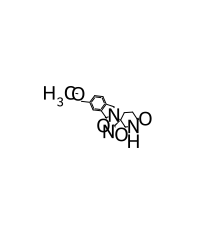 COCc1ccc2c(c1)C(=O)N([C@]1(C#N)CCC(=O)NC1=O)C2